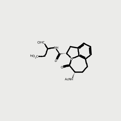 CC(=O)N[C@H]1CCc2cccc3c2N(C1=O)[C@H](C(=O)NC(C=O)CC(=O)O)C3